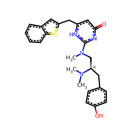 CN(C[C@@H](Cc1ccc(O)cc1)N(C)C)c1nc(=O)cc(Cc2cc3ccccc3s2)[nH]1